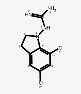 N=C(N)NN1CCc2cc(Cl)cc(Cl)c21